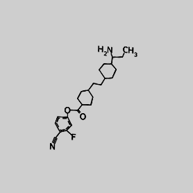 CCC(N)C1CCC(CCC2CCC(C(=O)Oc3ccc(C#N)c(F)c3)CC2)CC1